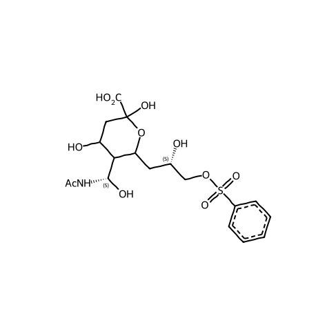 CC(=O)N[C@@H](O)C1C(O)CC(O)(C(=O)O)OC1C[C@H](O)COS(=O)(=O)c1ccccc1